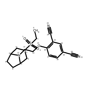 CCS(=O)(=O)N1CC2CCC(C1)N2CCOc1ccc(C#N)cc1C#N